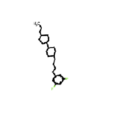 CCCC1CCC(C2CCC(CCCCc3cc(F)cc(F)c3)CC2)CC1